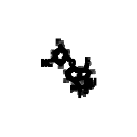 N#Cc1cc(F)cc(Oc2ccc3c4c2C(F)CC4(O)C(F)(F)C3(F)F)c1